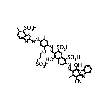 Cc1cc(N=Nc2c(S(=O)(=O)O)cc3c(S(=O)(=O)O)c(N=Nc4c(C)c(C#N)c5nc6ccccc6n5c4O)ccc3c2O)c(OCCCS(=O)(=O)O)cc1N=Nc1nc2ccc(C)c(S(=O)(=O)O)c2s1